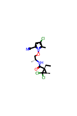 CC[C@@]1(C(=O)N[C@H](C)COn2c(C#N)cc(Cl)c2C)[C@@H](C)C1(Cl)Cl